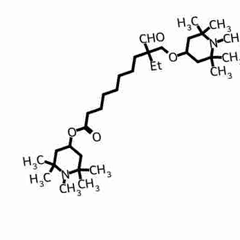 CCC(C=O)(CCCCCCCC(=O)OC1CC(C)(C)N(C)C(C)(C)C1)COC1CC(C)(C)N(C)C(C)(C)C1